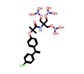 C=C(c1ccc(Cl)cc1)c1ccc(OC(C)(C)C(=O)NC(CON(O)O)(CON(O)O)CON(O)O)cc1